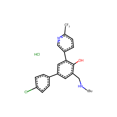 CC(C)(C)NCc1cc(-c2ccc(Cl)cc2)cc(-c2ccc(C(F)(F)F)nc2)c1O.Cl